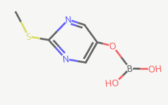 CSc1ncc(OB(O)O)cn1